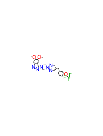 COc1cc2ncnc(N3CCN(c4ncc(Cc5cccc(OC(F)(F)F)c5)cn4)CC3)c2cc1OC